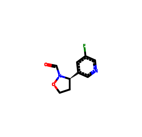 O=CN1OCC[C@H]1c1cncc(F)c1